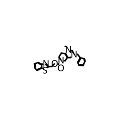 CN1CN(Cc2ccccc2)CC2=C1CCN(C(=O)OCc1nc3ccccc3s1)C2